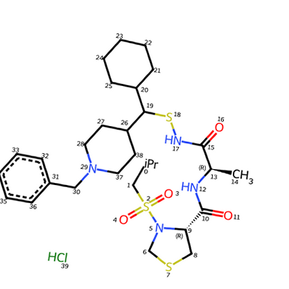 CC(C)CS(=O)(=O)N1CSC[C@H]1C(=O)N[C@H](C)C(=O)NSC(C1CCCCC1)C1CCN(Cc2ccccc2)CC1.Cl